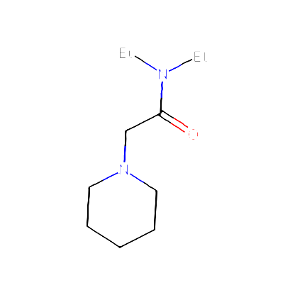 CCN(CC)C(=O)CN1CCCCC1